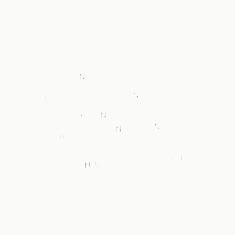 Cc1cc(C)n2nc(C3CCCCN3C(=O)OC(C)(C)C)nc2n1